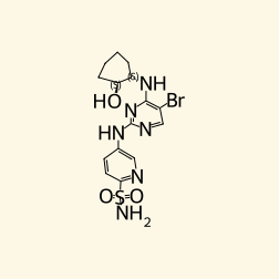 NS(=O)(=O)c1ccc(Nc2ncc(Br)c(N[C@H]3CCCC[C@@H]3O)n2)cn1